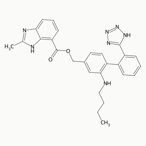 CCCCNc1cc(COC(=O)c2cccc3nc(C)[nH]c23)ccc1-c1ccccc1-c1nnn[nH]1